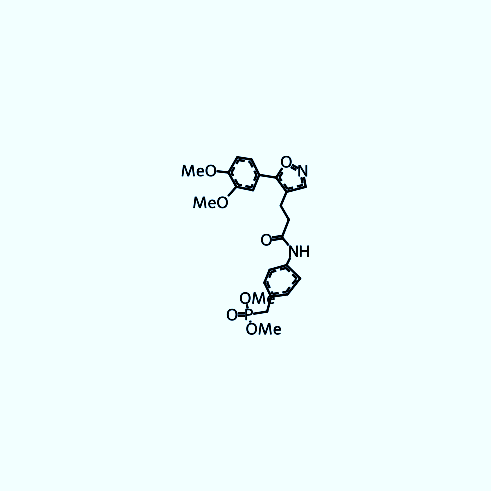 COc1ccc(-c2oncc2CCC(=O)Nc2ccc(CP(=O)(OC)OC)cc2)cc1OC